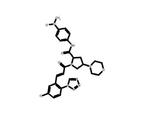 C[S+]([O-])c1ccc(NC(=O)C2CC(N3CCOCC3)CN2C(=O)/C=C/c2cc(Cl)ccc2-n2cnnn2)cc1